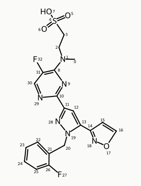 CN(CCS(=O)(=O)O)c1nc(-c2cc(-c3ccon3)n(Cc3ccccc3F)n2)ncc1F